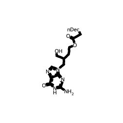 CCCCCCCCCCCC(=O)OCCC(CO)Cn1cnc2c(=O)[nH]c(N)nc21